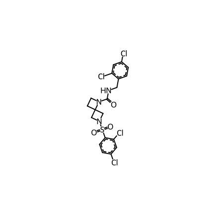 O=C(NCc1ccc(Cl)cc1Cl)N1CCC12CN(S(=O)(=O)c1ccc(Cl)cc1Cl)C2